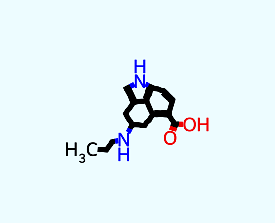 CCCNC1Cc2c[nH]c3ccc(C(=O)O)c(c23)C1